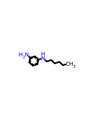 CCCCCCNc1cccc(N)c1